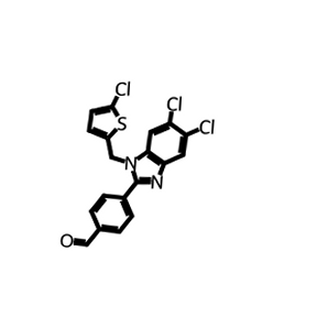 O=Cc1ccc(-c2nc3cc(Cl)c(Cl)cc3n2Cc2ccc(Cl)s2)cc1